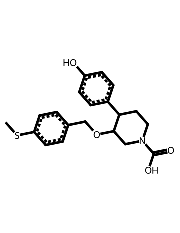 CSc1ccc(COC2CN(C(=O)O)CCC2c2ccc(O)cc2)cc1